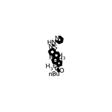 CCCCC(=O)O[C@H]1CC[C@H]2[C@@H]3CC=C4c5sc(Nc6ccccn6)nc5CC[C@]4(C)[C@H]3CC[C@]12C